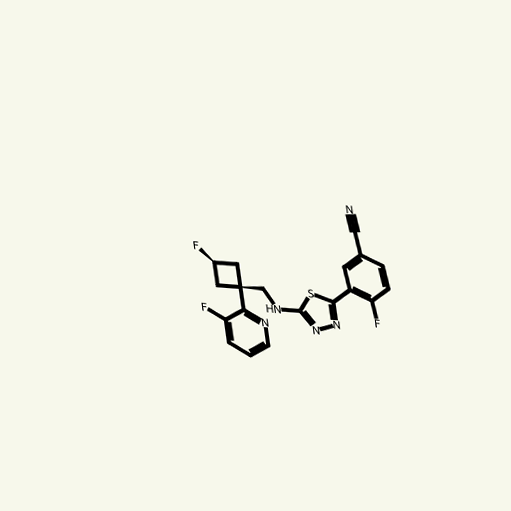 N#Cc1ccc(F)c(-c2nnc(NC[C@]3(c4ncccc4F)C[C@H](F)C3)s2)c1